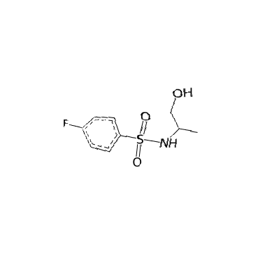 CC(CO)NS(=O)(=O)c1ccc(F)cc1